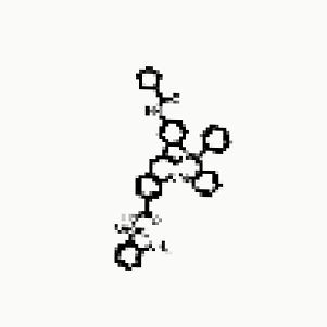 COc1cc(C(=O)NS(=O)(=O)c2ccccc2C)ccc1Cc1cn(C(c2ccccc2)c2ccccc2)c2ccc(NC(=O)C3CCCC3)cc12